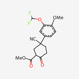 COC(=O)C1CC(C#N)(c2ccc(OC)c(OC(F)F)c2)CCC1=O